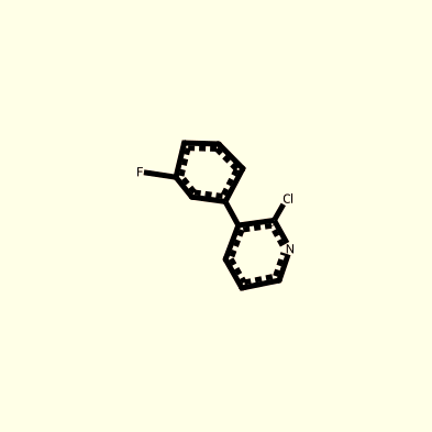 Fc1cccc(-c2cccnc2Cl)c1